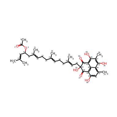 CC(=O)OC(C=C(C)C)C/C(C)=C/CC/C(C)=C/CC/C(C)=C/CC1(O)C(=O)c2c(O)cc(C)c3c(O)c(C)c(O)c(c23)C1=O